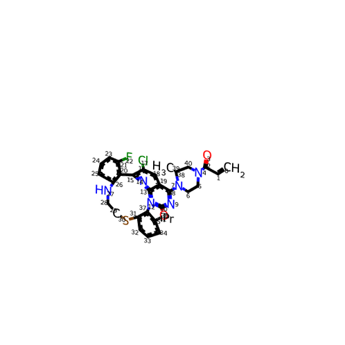 C=CC(=O)N1CCN(c2nc(=O)n3c4nc(c(Cl)cc24)-c2c(F)cccc2NCCSc2cccc(C(C)C)c2-3)[C@@H](C)C1